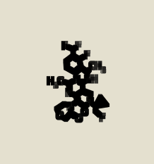 Cc1nc(NC(C)c2cccc(C(F)F)c2F)c2cn(C3(CF)CC3)c(=O)c(N3CCOCC3=O)c2n1